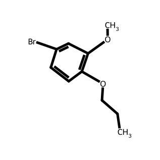 CCCOc1ccc(Br)cc1OC